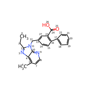 CCc1nc2c(C)ccnc2n1Cc1ccc(-c2ccccc2)c(C(=O)O)c1